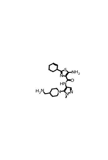 Cn1ncc(NC(=O)c2nc(C3C=CCCC3)sc2N)c1N1CCC(CN)CC1